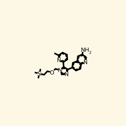 Cc1cccc(-c2c(-c3ccc4ncc(N)cc4c3)ncn2COCC[Si](C)(C)C)n1